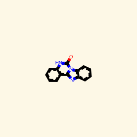 O=c1[nH]c2ccccc2c2nc3ccccc3n12